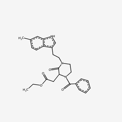 CCOC(=O)CC1C(=O)N(CCc2c[nH]c3cc(C)ccc23)CCN1C(=O)c1ccccc1